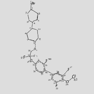 CCCC1CCC(C2CCC(OCC(F)(F)Oc3ccc(-c4cc(F)c(OC(F)(F)F)c(F)c4)c(F)c3)CC2)CC1